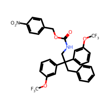 O=C(NCC(Cc1ccccc1)(c1cccc(OC(F)(F)F)c1)c1cccc(OC(F)(F)F)c1)OCc1ccc([N+](=O)[O-])cc1